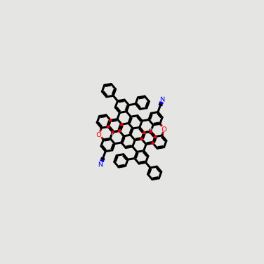 N#Cc1cc2c3c(c1)-c1cc(-c4c(-c5ccccc5)cc(-c5ccccc5)cc4-c4ccccc4)c4cc5c6c(cc(-c7c(-c8ccccc8)cc(-c8ccccc8)cc7-c7ccccc7)c7cc(c1c4c76)B3c1ccccc1O2)-c1cc(C#N)cc2c1B5c1ccccc1O2